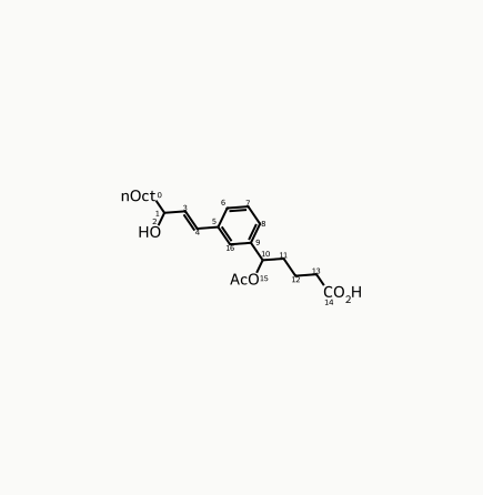 CCCCCCCCC(O)/C=C/c1cccc(C(CCCC(=O)O)OC(C)=O)c1